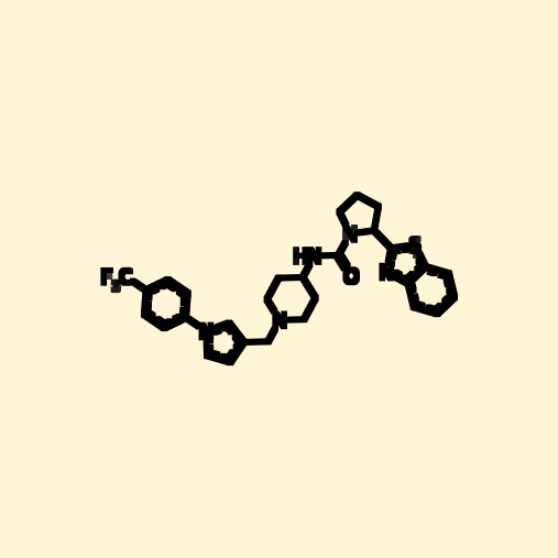 O=C(NC1CCN(Cc2ccn(-c3ccc(C(F)(F)F)cc3)c2)CC1)N1CCCC1c1nc2ccccc2s1